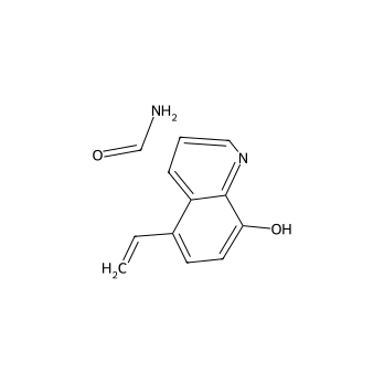 C=Cc1ccc(O)c2ncccc12.NC=O